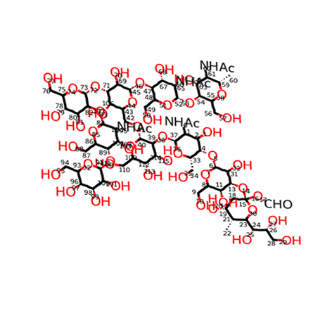 CC(=O)NC1C(O)[C@H](O[C@@H]2OC(CO)[C@H](O)[C@H](O[C@]3(OC=O)C[C@@H](O)[C@@H](C)C([C@@H](O)[C@H](O)CO)O3)C2O)[C@H](CO)O[C@H]1OC1[C@@H](OCC2O[C@@H](O[C@@H]3C(CO)O[C@@H](O[C@@H]4C(CO)O[C@@H](C)C(NC(C)=O)[C@H]4O)C(NC(C)=O)[C@H]3O)C(O)[C@@H](O[C@H]3OC(CO)[C@@H](O)C(O)C3O[C@@H]3OC(CO)[C@@H](O[C@@H]4OC(CO)[C@H](O)[C@H](O)C4O)[C@H](O)C3NC(C)=O)[C@@H]2O)OC(CO)[C@@H](O)[C@@H]1O